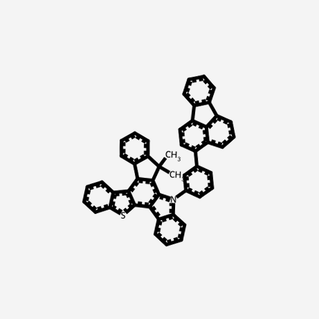 CC1(C)c2ccccc2-c2c1c1c(c3ccccc3n1-c1cccc(-c3ccc4c5c(cccc35)-c3ccccc3-4)c1)c1sc3ccccc3c21